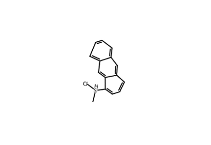 C[SiH](Cl)c1cccc2cc3ccccc3cc12